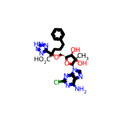 C[C@@]1(O)[C@H](O)[C@@H](COC(CCCc2ccccc2)(C(=O)O)c2nn[nH]n2)O[C@H]1n1cnc2c(N)nc(Cl)nc21